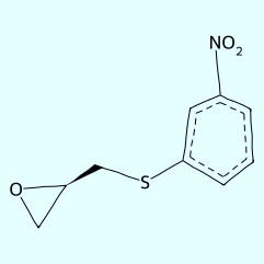 O=[N+]([O-])c1cccc(SC[C@H]2CO2)c1